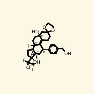 C[C@]12C[C@H](c3ccc(CO)cc3)C3=C4CCC5(C[C@]4(O)CC[C@H]3[C@@H]1CC[C@@]2(O)C(F)(F)C(F)(F)F)OCCO5